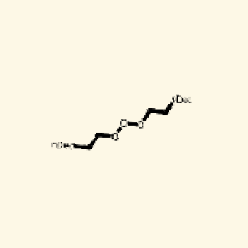 CCCCCCCCCCCCOOOCCCCCCCCCCCC